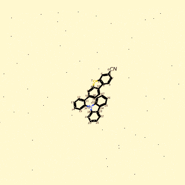 N#Cc1ccc2c(c1)sc1cc(-c3ccccc3-n3c4ccccc4c4ccccc43)ccc12